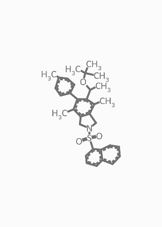 Cc1ccc(-c2c(C)c3c(c(C)c2C(C)OC(C)(C)C)CN(S(=O)(=O)c2cccc4ccccc24)C3)cc1